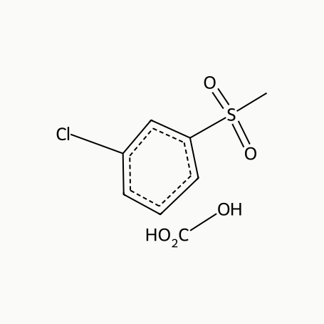 CS(=O)(=O)c1cccc(Cl)c1.O=C(O)O